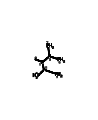 CP(P(P)P)P(P)P